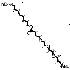 CCCCCCCCCCCCCCCCCCOC(=O)CCCOCCOCCOCCOCCCC